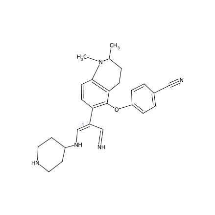 CC1CCc2c(ccc(/C(C=N)=C/NC3CCNCC3)c2Oc2ccc(C#N)cc2)N1C